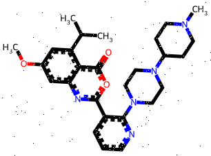 COc1cc(C(C)C)c2c(=O)oc(-c3cccnc3N3CCN(C4CCN(C)CC4)CC3)nc2c1